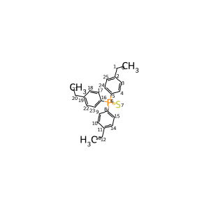 CCc1ccc(P(=S)(c2ccc(CC)cc2)c2ccc(CC)cc2)cc1